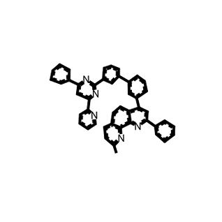 Cc1ccc2ccc3c(-c4cccc(-c5cccc(-c6nc(-c7ccccc7)cc(-c7ccccn7)n6)c5)c4)cc(-c4ccccc4)nc3c2n1